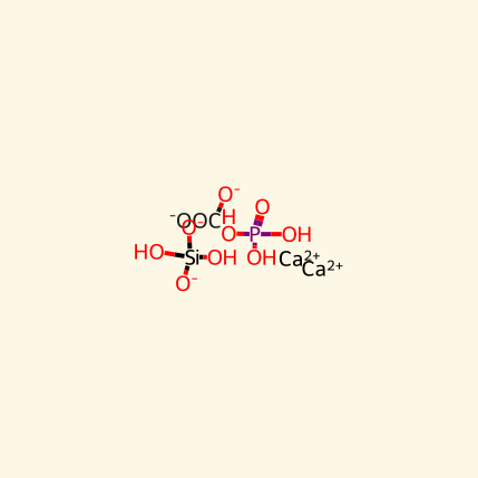 O=C([O-])[O-].O=P(O)(O)O.[Ca+2].[Ca+2].[O-][Si]([O-])(O)O